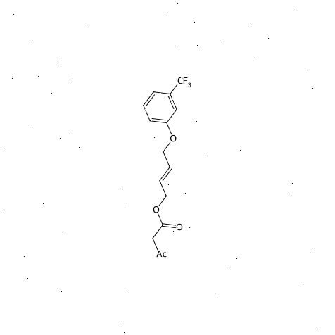 CC(=O)CC(=O)OCC=CCOc1cccc(C(F)(F)F)c1